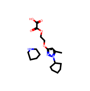 C1CCNCC1.Cc1cc(OCCOC(=O)C(=O)O)nn1C1CCCCC1